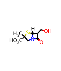 CC1(C(=O)O)CN2C(=O)C(CO)[C@H]2S1